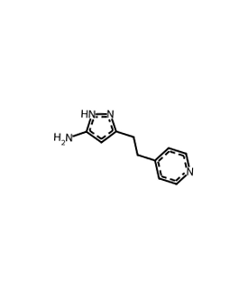 Nc1cc(CCc2ccncc2)n[nH]1